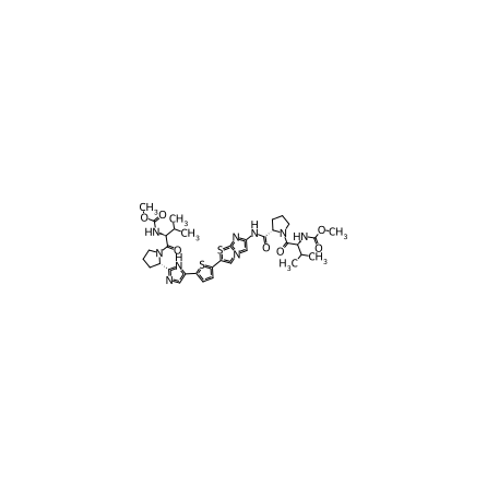 COC(=O)N[C@H](C(=O)N1CCC[C@H]1C(=O)Nc1cn2cc(-c3ccc(-c4cnc([C@@H]5CCCN5C(=O)[C@@H](NC(=O)OC)C(C)C)[nH]4)s3)sc2n1)C(C)C